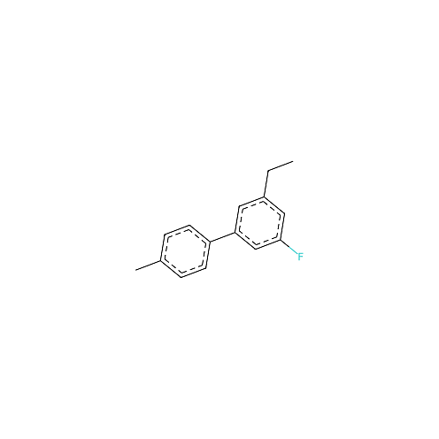 CCc1cc(F)cc(-c2ccc(C)cc2)c1